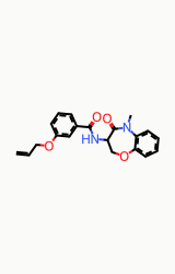 C=CCOc1cccc(C(=O)NC2COc3ccccc3N(C)C2=O)c1